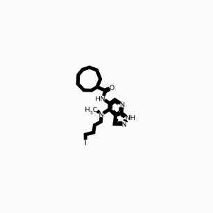 CN(CCCCI)c1c(NC(=O)C2CCCCCCCC2)cnc2[nH]ncc12